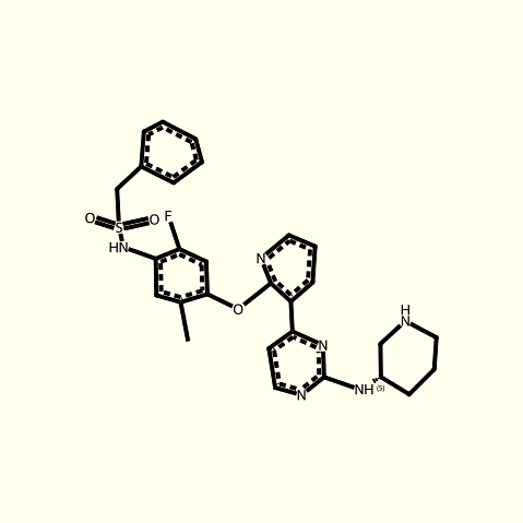 Cc1cc(NS(=O)(=O)Cc2ccccc2)c(F)cc1Oc1ncccc1-c1ccnc(N[C@H]2CCCNC2)n1